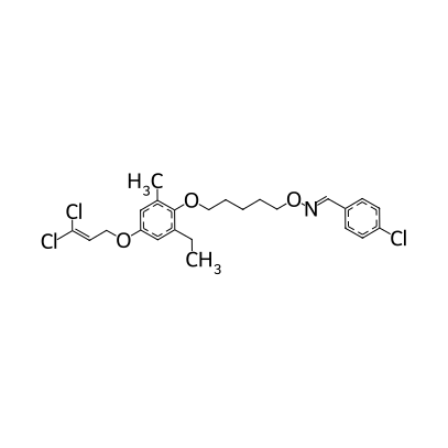 CCc1cc(OCC=C(Cl)Cl)cc(C)c1OCCCCCO/N=C/c1ccc(Cl)cc1